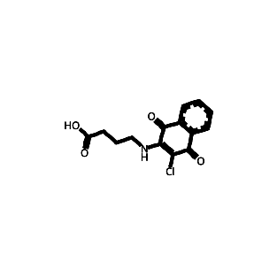 O=C(O)CCCNC1=C(Cl)C(=O)c2ccccc2C1=O